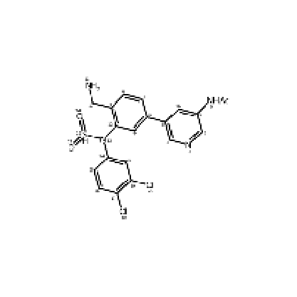 CC(=O)Nc1cncc(-c2ccc(CN)c(N(c3ccc(Cl)c(Cl)c3)[SH](=O)=O)c2)c1